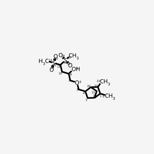 CC1C2CC(COCC(O)CC(S(C)(=O)=O)S(C)(=O)=O)C(C2)C1C